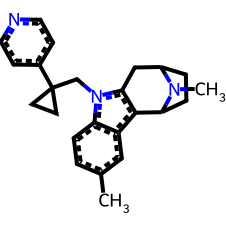 Cc1ccc2c(c1)c1c(n2CC2(c3ccncc3)CC2)CC2CCC1N2C